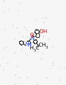 CC(C)c1ccc(N(Cc2cnn(Cc3ccccc3)c2)C(=O)C2CCCc3c(O)cccc32)cc1